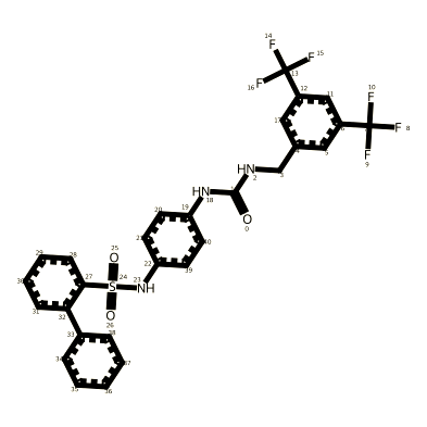 O=C(NCc1cc(C(F)(F)F)cc(C(F)(F)F)c1)Nc1ccc(NS(=O)(=O)c2ccccc2-c2ccccc2)cc1